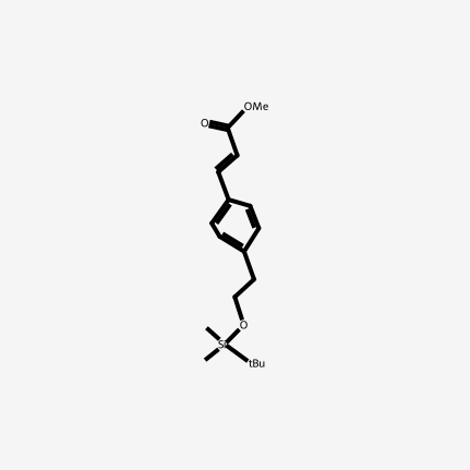 COC(=O)/C=C/c1ccc(CCO[Si](C)(C)C(C)(C)C)cc1